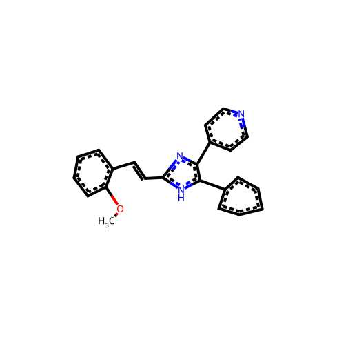 COc1ccccc1C=Cc1nc(-c2ccncc2)c(-c2ccccc2)[nH]1